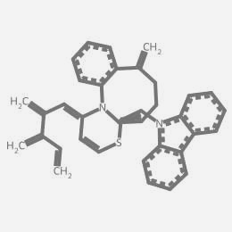 C=CC(=C)C(=C)/C=C(\C=C/S/C=C\n1c2ccccc2c2ccccc21)N1/C=C\CCC(=C)c2ccccc21